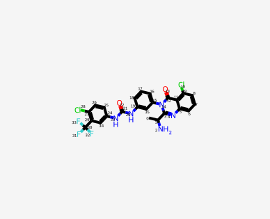 CC(N)c1nc2cccc(Cl)c2c(=O)n1-c1cccc(NC(=O)Nc2ccc(Cl)c(C(F)(F)F)c2)c1